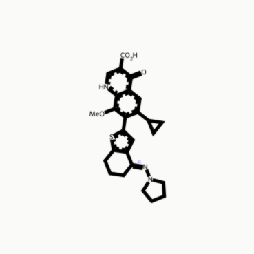 COc1c(-c2cc3c(s2)CCC/C3=N\N2CCCC2)c(C2CC2)cc2c(=O)c(C(=O)O)c[nH]c12